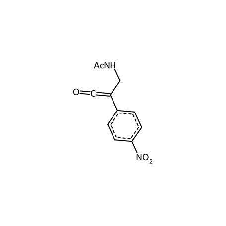 CC(=O)NCC(=C=O)c1ccc([N+](=O)[O-])cc1